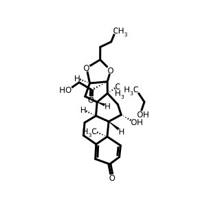 CCCC1O[C@@H]2C[C@H]3[C@@H]4CCC5=CC(=O)C=C[C@]5(C)[C@H]4[C@@H](O)C[C@]3(C)[C@]2(C(=O)CO)O1.CCO